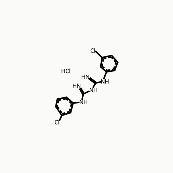 Cl.N=C(NC(=N)Nc1cccc(Cl)c1)Nc1cccc(Cl)c1